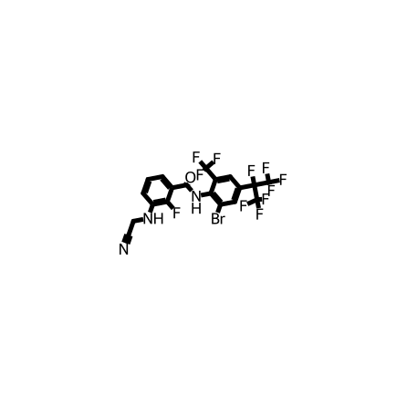 N#CCNc1cccc(C(=O)Nc2c(Br)cc(C(F)(C(F)(F)F)C(F)(F)F)cc2C(F)(F)F)c1F